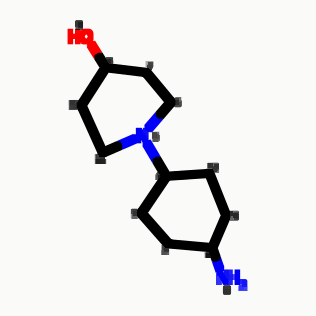 NC1CCC(N2CCC(O)CC2)CC1